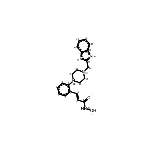 O=C(C=Cc1ccccc1N1CCN(Cc2nc3ccccc3s2)CC1)NO